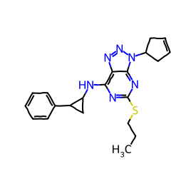 CCCSc1nc(NC2CC2c2ccccc2)c2nnn(C3CC=CC3)c2n1